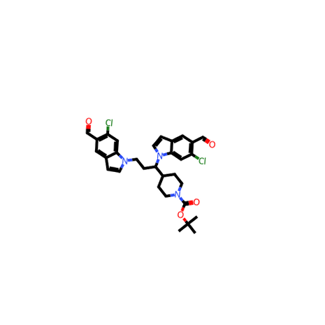 CC(C)(C)OC(=O)N1CCC(C(CCn2ccc3cc(C=O)c(Cl)cc32)n2ccc3cc(C=O)c(Cl)cc32)CC1